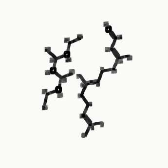 CC(C)=CCCC(C)=CCCC(C)=CC=O.CCOC(C)OC(C)OCC